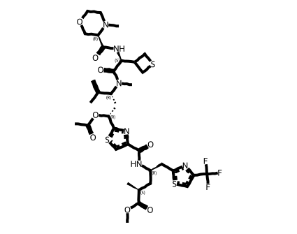 C=C(C)[C@@H](C[C@@H](OC(C)=O)c1nc(C(=O)N[C@@H](Cc2nc(C(F)(F)F)cs2)C[C@H](C)C(=O)OC)cs1)N(C)C(=O)[C@@H](NC(=O)[C@H]1COCCN1C)C1CSC1